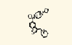 O=C(c1ccc2scc(CN3CCCCC3)c2c1)N1CCN(C2CCC2)CC1